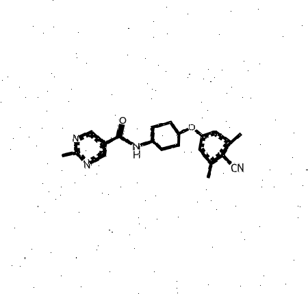 Cc1ncc(C(=O)NC2CCC(Oc3cc(C)c(C#N)c(C)c3)CC2)cn1